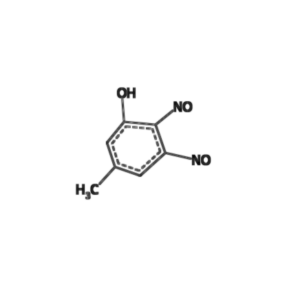 Cc1cc(O)c(N=O)c(N=O)c1